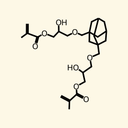 C=C(C)C(=O)OCC(O)COCC12CC3CC(C1)CC(COCC(O)COC(=O)C(=C)C)(C3)C2